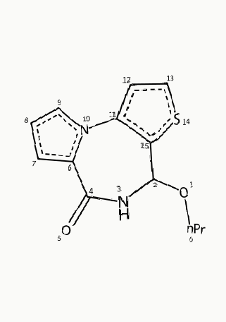 CCCOC1NC(=O)c2cccn2-c2ccsc21